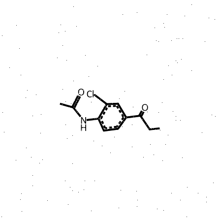 CCC(=O)c1ccc(NC(C)=O)c(Cl)c1